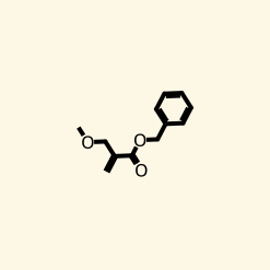 C=C(COC)C(=O)OCc1ccccc1